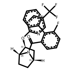 O=C(c1cccc(F)c1-c1ncccn1)N1[C@H]2CC[C@@H]1[C@@H](Oc1ncc(C(F)(F)F)cn1)C2